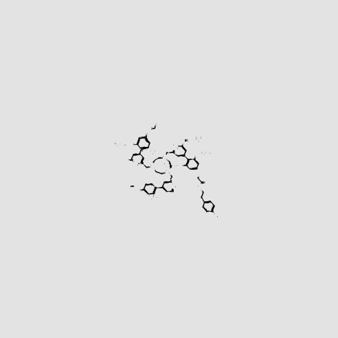 COOc1cc(-c2c(OC)cc(OCC(=O)NCCc3ccc(N)cc3)cc2OC)cc(CN2CCN(Cc3cc(-c4ccc(OCC(=O)O)cc4OC)cc(C(=O)O)n3)CCN(Cc3cc(-c4c(OC)cc(OCC(=O)O)cc4OC)cc(C(=O)O)n3)CC2)n1